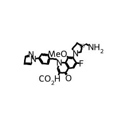 COc1c(N2CC[C@@H](CN)C2)c(F)cc2c(=O)c(C(=O)O)cn(Cc3ccc(-n4cccn4)cc3)c12